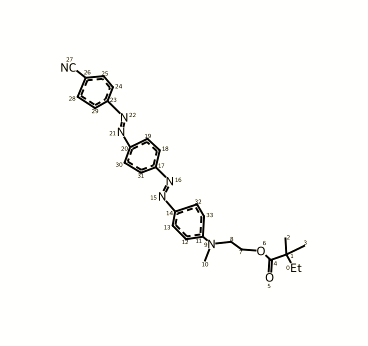 CCC(C)(C)C(=O)OCCN(C)c1ccc(/N=N/c2ccc(/N=N/c3ccc(C#N)cc3)cc2)cc1